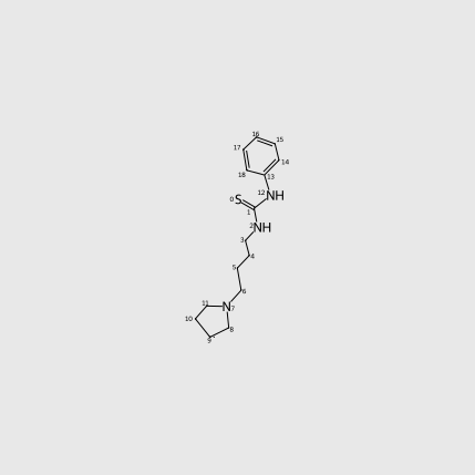 S=C(NCCCCN1C[CH]CC1)Nc1ccccc1